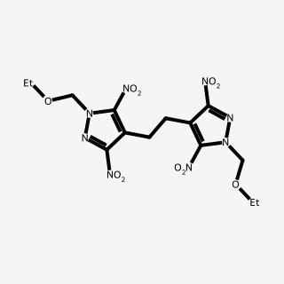 CCOCn1nc([N+](=O)[O-])c(CCc2c([N+](=O)[O-])nn(COCC)c2[N+](=O)[O-])c1[N+](=O)[O-]